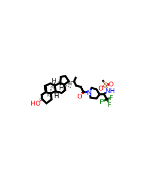 CC(CCC(=O)N1CCC(C(NS(C)(=O)=O)C(F)(F)F)CC1)[C@H]1CC[C@H]2[C@@H]3CC=C4C[C@@H](O)CC[C@]4(C)[C@H]3CC[C@]12C